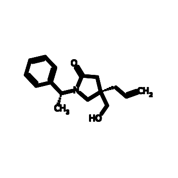 C=CC[C@@]1(CO)CC(=O)N([C@H](C)c2ccccc2)C1